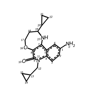 Nc1ccc2c(c1)c1c(c(=O)n2CC2CC2)OCCC(C2CC2)N1